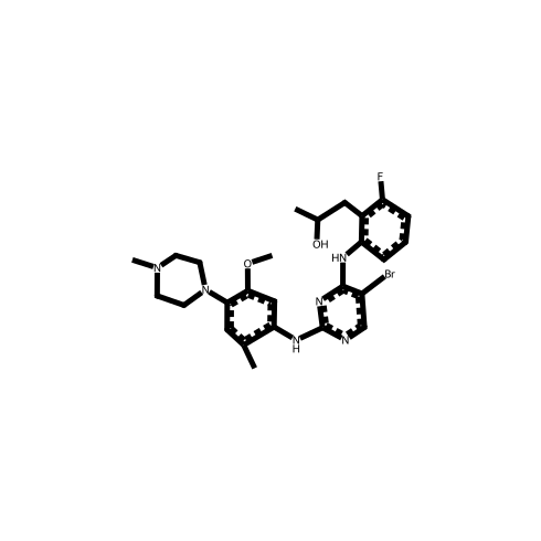 COc1cc(Nc2ncc(Br)c(Nc3cccc(F)c3CC(C)O)n2)c(C)cc1N1CCN(C)CC1